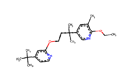 CCOc1ncc(C(C)(C)CCOc2cc(C(C)(C)C)ccn2)cc1C